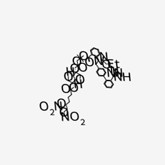 CCOc1nc2cccc(C(=O)OC(C)(C)OC(=O)O[C@@H]3CO[C@H]4[C@@H]3OC[C@H]4OC(=O)CCCC(CO[N+](=O)[O-])O[N+](=O)[O-])c2n1Cc1ccc(-c2ccccc2-c2nnn[nH]2)cc1